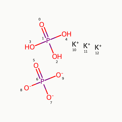 O=P(O)(O)O.O=P([O-])([O-])[O-].[K+].[K+].[K+]